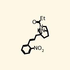 CCC(=O)N1CC2CCC(CC=Cc3ccccc3[N+](=O)[O-])(C1)N2